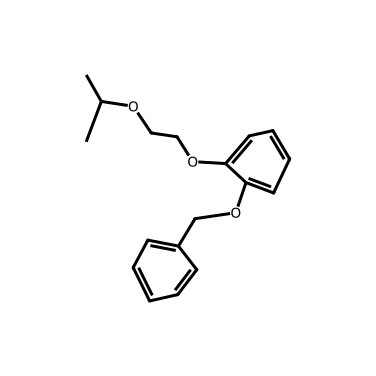 CC(C)OCCOc1ccccc1OCc1ccccc1